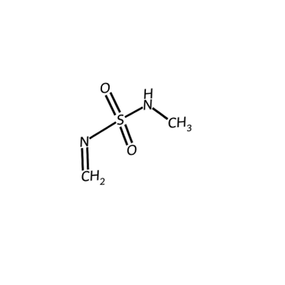 C=NS(=O)(=O)NC